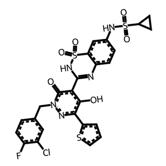 O=c1c(C2=Nc3ccc(NS(=O)(=O)C4CC4)cc3S(=O)(=O)N2)c(O)c(-c2cccs2)nn1Cc1ccc(F)c(Cl)c1